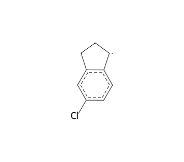 Clc1ccc2c(c1)CC[CH]2